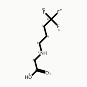 O=C(O)CNCCCC(F)(F)F